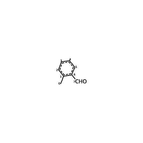 Cc1ccc[c]c1C=O